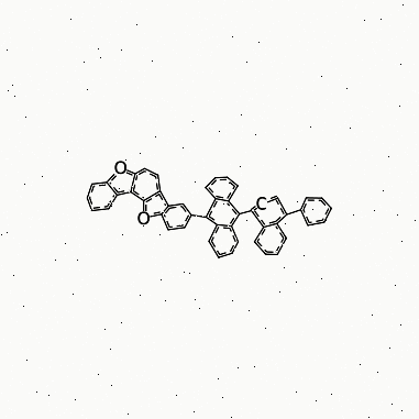 c1ccc(-c2ccc(-c3c4ccccc4c(-c4ccc5oc6c(ccc7oc8ccccc8c76)c5c4)c4ccccc34)c3ccccc23)cc1